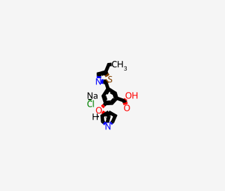 CCc1cnc(-c2cc(O[C@@H]3CN4CCC3CC4)cc(C(=O)O)c2)s1.[Na][Cl]